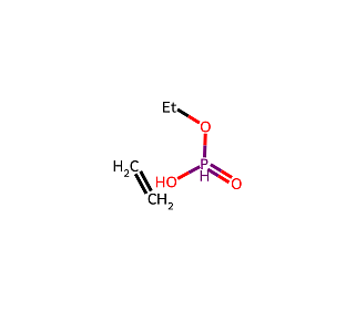 C=C.CCO[PH](=O)O